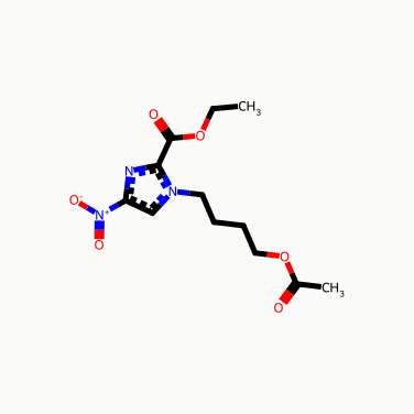 CCOC(=O)c1nc([N+](=O)[O-])cn1CCCCOC(C)=O